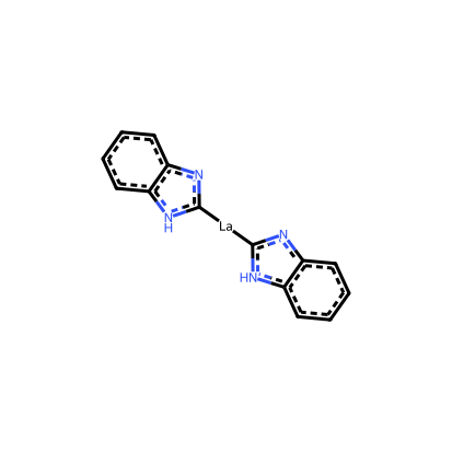 c1ccc2[nH][c]([La][c]3nc4ccccc4[nH]3)nc2c1